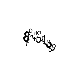 Cl.O=c1ccc2ccc(F)cc2n1CCN1CCC(NCc2cc3c(cn2)OCCO3)CC1